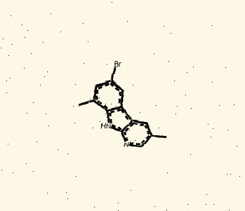 Cc1cnc2[nH]c3c(C)cc(Br)cc3c2c1